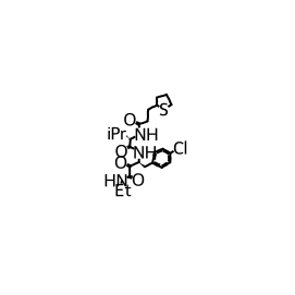 CCNC(=O)C(=O)[C@H](Cc1ccc(Cl)cc1)NC(=O)[C@@H](NC(=O)CCC1CCCS1)C(C)C